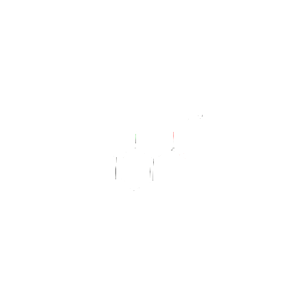 COOC(=O)c1cccc(F)c1F